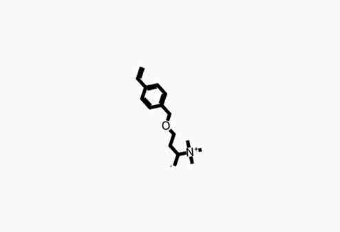 [CH2]C(CCOCc1ccc(C=C)cc1)[N+](C)(C)C